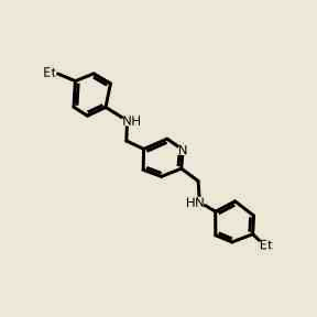 CCc1ccc(NCc2ccc(CNc3ccc(CC)cc3)nc2)cc1